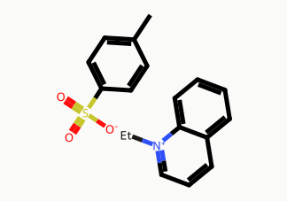 CC[n+]1cccc2ccccc21.Cc1ccc(S(=O)(=O)[O-])cc1